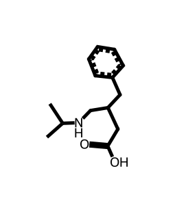 CC(C)NCC(CC(=O)O)Cc1ccccc1